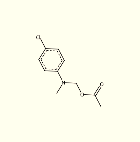 CC(=O)OCN(C)c1ccc(Cl)cc1